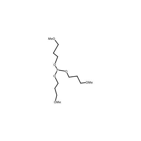 COCCCOP(OCCCOC)OCCCOC